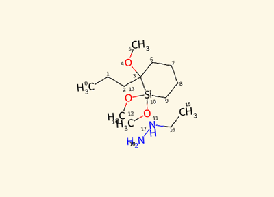 CCCC1(OC)CCCC[Si]1(OC)OC.CCNN